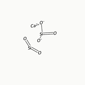 O=[Si]([O-])[O-].O=[Si]=O.[Ca+2]